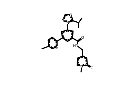 Cc1ccc(-c2cc(C(=O)NCc3ccn(C)c(=O)c3)cc(-n3ncnc3C(C)C)c2)nc1